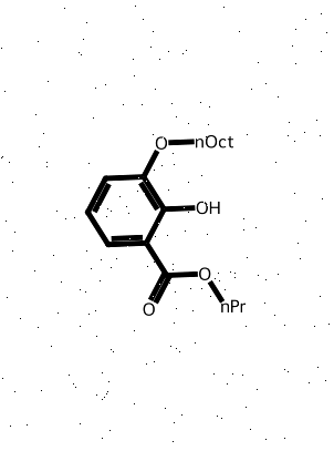 [CH2]CCOC(=O)c1cccc(OCCCCCCCC)c1O